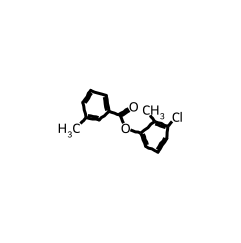 Cc1cccc(C(=O)Oc2cccc(Cl)c2C)c1